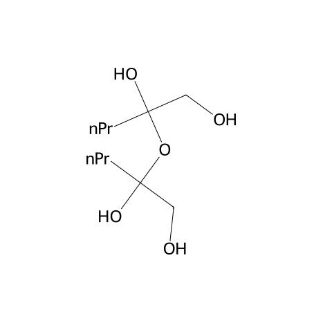 CCCC(O)(CO)OC(O)(CO)CCC